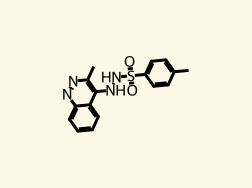 Cc1ccc(S(=O)(=O)NNc2c(C)nnc3ccccc23)cc1